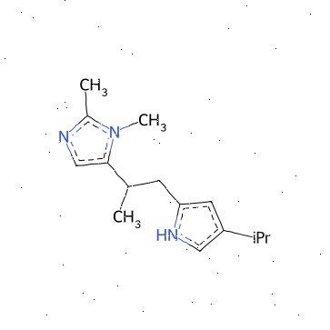 Cc1ncc(C(C)Cc2cc(C(C)C)c[nH]2)n1C